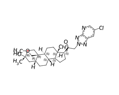 COC[C@]12CC[C@@](C)(O)C[C@H]1CC[C@H]1[C@@H]3CC[C@H](C(=O)Cn4nc5cc(Cl)cnc5n4)[C@@]3(C)CC[C@@H]12